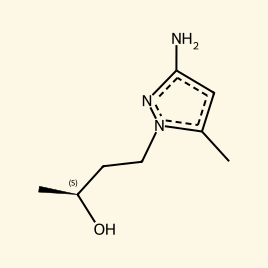 Cc1cc(N)nn1CC[C@H](C)O